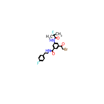 CC(C)(F)C(=O)Nc1cc(C(=O)CBr)cc(C(=O)NCCc2ccc(F)cc2)c1